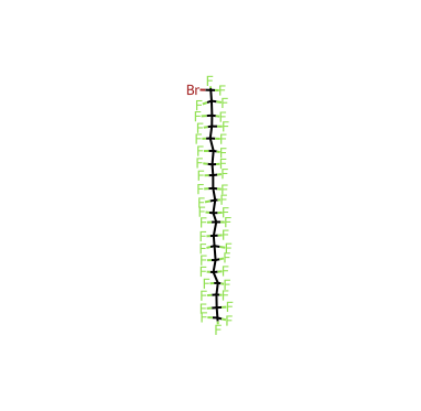 FC(F)(F)C(F)(F)C(F)(F)C(F)(F)C(F)(F)C(F)(F)C(F)(F)C(F)(F)C(F)(F)C(F)(F)C(F)(F)C(F)(F)C(F)(F)C(F)(F)C(F)(F)C(F)(F)C(F)(F)C(F)(F)C(F)(F)C(F)(F)Br